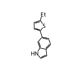 CCc1ccc(-c2ccc3cc[nH]c3c2)s1